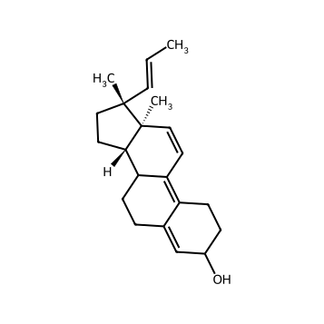 C/C=C/[C@@]1(C)CC[C@H]2C3CCC4=CC(O)CCC4=C3C=C[C@@]21C